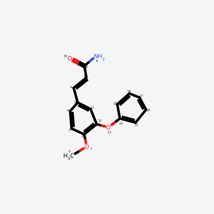 COc1ccc(/C=C/C(N)=O)cc1Oc1ccccc1